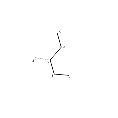 C[CH][C@H](C)CC